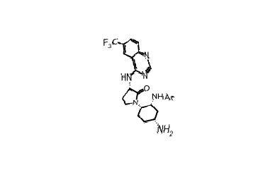 CC(=O)N[C@@H]1C[C@H](N)CC[C@@H]1N1CC[C@H](Nc2ncnc3ccc(C(F)(F)F)cc23)C1=O